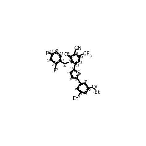 CCOc1cc(CC)cc(-c2ccc(-c3cc(C(F)(F)F)c(C#N)c(=O)n3Cc3ccc(F)cc3F)s2)c1